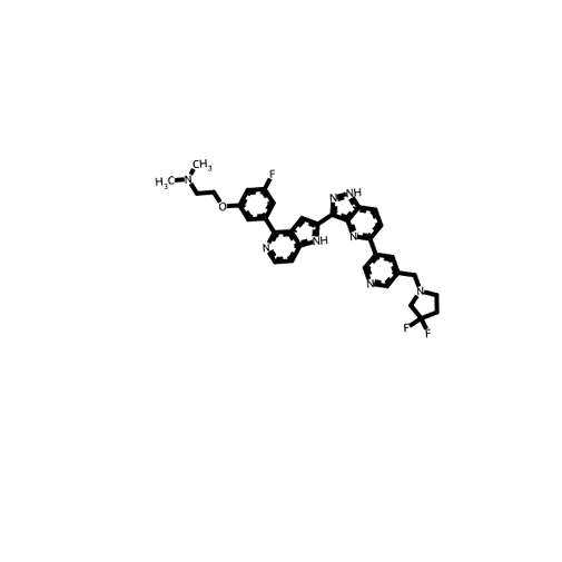 CN(C)CCOc1cc(F)cc(-c2nccc3[nH]c(-c4n[nH]c5ccc(-c6cncc(CN7CCC(F)(F)C7)c6)nc45)cc23)c1